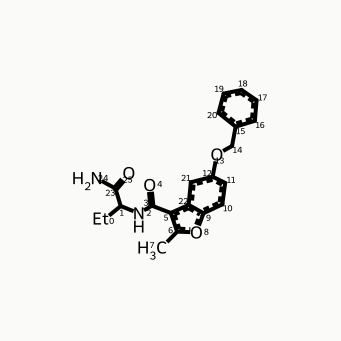 CCC(NC(=O)c1c(C)oc2ccc(OCc3ccccc3)cc12)C(N)=O